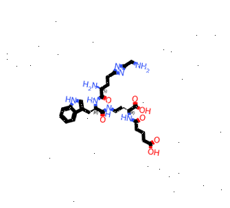 NCC1N2C(CC[C@H](N)C(=O)N[C@H](Cc3c[nH]c4ccccc34)C(=O)NCC[C@@H](NC(=O)CCCC(=O)O)C(=O)O)N12